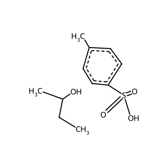 CCC(C)O.Cc1ccc(S(=O)(=O)O)cc1